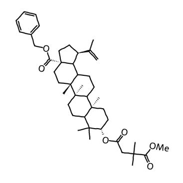 C=C(C)[C@@H]1CC[C@]2(C(=O)OCc3ccccc3)CC[C@]3(C)C(CCC4[C@@]5(C)CC[C@H](OC(=O)CC(C)(C)C(=O)OC)C(C)(C)C5CC[C@]43C)C12